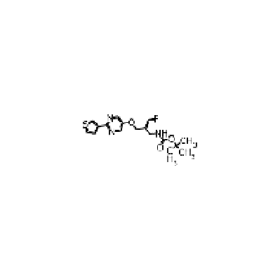 CC(C)(C)OC(=O)NCC(=CF)COc1cnc(-c2ccsc2)nc1